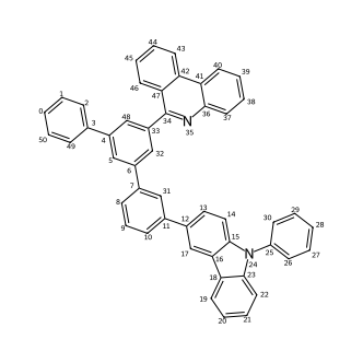 c1ccc(-c2cc(-c3cccc(-c4ccc5c(c4)c4ccccc4n5-c4ccccc4)c3)cc(-c3nc4ccccc4c4ccccc34)c2)cc1